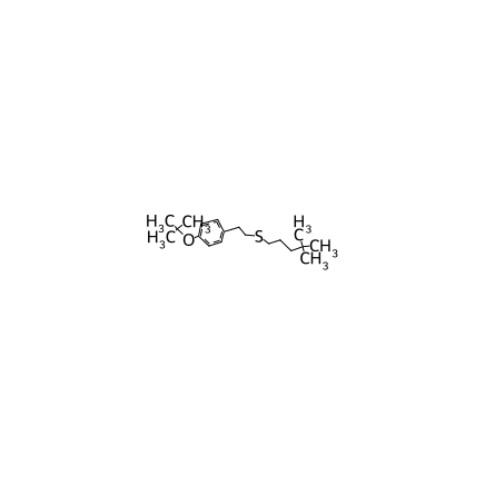 CC(C)(C)CCCSCCc1ccc(OC(C)(C)C)cc1